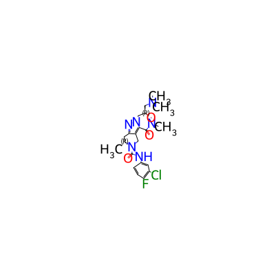 C[C@@H]1Cc2nn3c(c2CN1C(=O)Nc1ccc(F)c(Cl)c1)C(=O)N(C)O[C@H](CN(C)C)C3